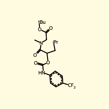 CC(C)CC(OC(=O)Nc1ccc(C(F)(F)F)cc1)C(=O)N(C)CC(=O)OC(C)(C)C